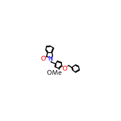 COc1cc(CN2Cc3ccccc3C2=O)ccc1OCc1ccccc1